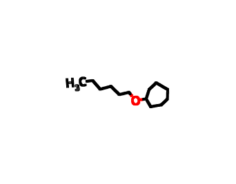 CCCCCCOC1CCCCCC1